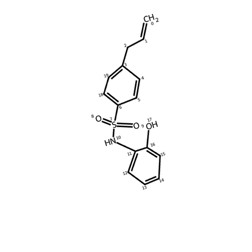 C=CCc1ccc(S(=O)(=O)Nc2ccccc2O)cc1